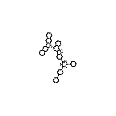 c1ccc(-c2ccc(-c3nc(-c4ccccc4)nc(-c4ccc5c(c4)oc4c6ccccc6c(-n6c7cc8ccccc8cc7c7cc8ccccc8cc76)cc54)n3)cc2)cc1